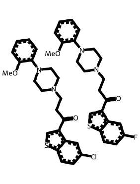 COc1ccccc1N1CCN(CCC(=O)c2csc3ccc(Cl)cc23)CC1.COc1ccccc1N1CCN(CCC(=O)c2csc3ccc(F)cc23)CC1